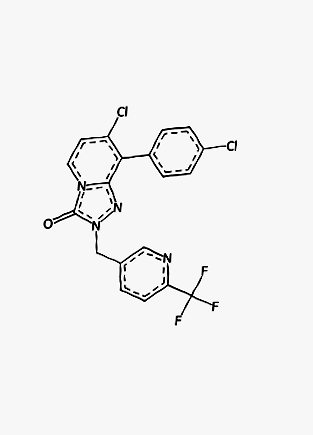 O=c1n(Cc2ccc(C(F)(F)F)nc2)nc2c(-c3ccc(Cl)cc3)c(Cl)ccn12